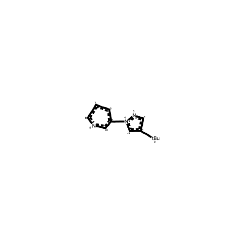 CC(C)(C)c1cnn(-c2cccnc2)c1